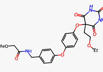 CCOCCC1(Oc2ccc(Oc3ccc(CNC(=O)COC)cc3)cc2)C(=O)NC(=O)NC1=O